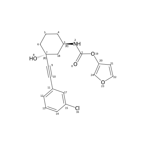 O=C(N[C@@H]1CCC[C@](O)(C#Cc2cccc(Cl)c2)C1)Oc1ccoc1